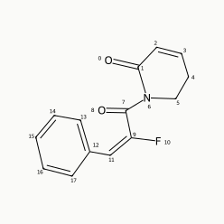 O=C1C=CCCN1C(=O)/C(F)=C\c1ccccc1